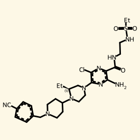 CC[C@H]1CN(c2nc(N)c(C(=O)NCCNS(=O)(=O)CC)nc2Cl)CCN1C1CCN(Cc2ccc(C#N)cc2)CC1